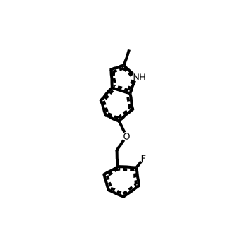 Cc1cc2ccc(OCc3ccccc3F)cc2[nH]1